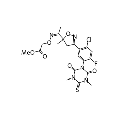 COC(=O)CO/N=C(/C)C1(C)CC(c2cc(-n3c(=O)n(C)c(=S)n(C)c3=O)c(F)cc2Cl)=NO1